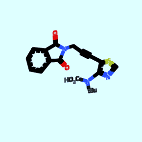 CC(C)(C)N(C(=O)O)c1ncsc1C#CCN1C(=O)c2ccccc2C1=O